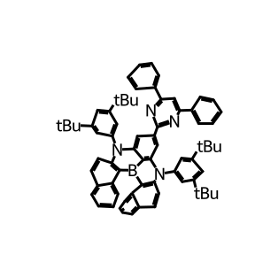 CC(C)(C)c1cc(N2c3cc(-c4nc(-c5ccccc5)cc(-c5ccccc5)n4)cc4c3B(c3c2ccc2ccccc32)c2c(ccc3ccccc23)N4c2cc(C(C)(C)C)cc(C(C)(C)C)c2)cc(C(C)(C)C)c1